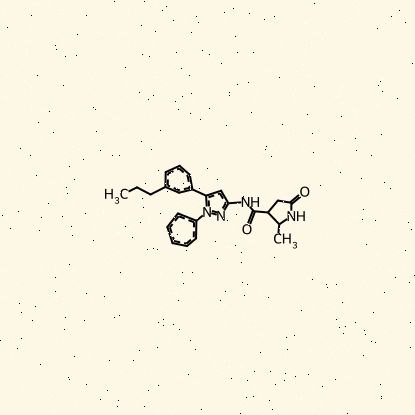 CCCc1cccc(-c2cc(NC(=O)C3CC(=O)NC3C)nn2-c2ccccc2)c1